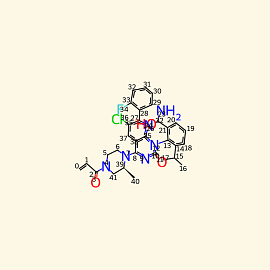 C=CC(=O)N1CCN(c2nc(=O)n(-c3c(C(C)C)cccc3C(N)O)c3nc(-c4ccccc4F)c(Cl)cc23)[C@@H](C)C1